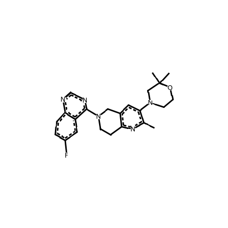 Cc1nc2c(cc1N1CCOC(C)(C)C1)CN(c1ncnc3ccc(F)cc13)CC2